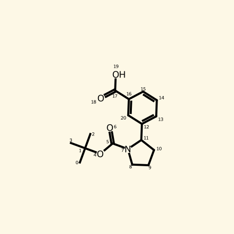 CC(C)(C)OC(=O)N1CCCC1c1cccc(C(=O)O)c1